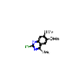 CNc1nc(Cl)nc2cc(OC)c(OC)cc12